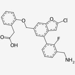 NCc1cccc(-c2cc(COc3ccccc3CC(=O)O)cc3oc(Cl)cc23)c1F